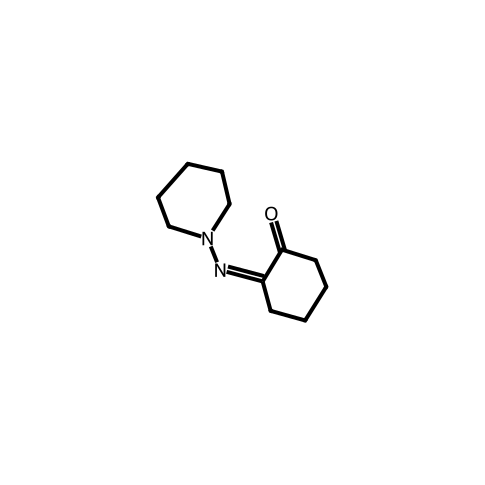 O=C1CCCC/C1=N/N1CCCCC1